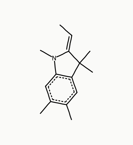 CC=C1N(C)c2cc(C)c(C)cc2C1(C)C